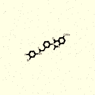 COc1ccc2nc(C)n(-c3cccc(CC(=S)Nc4ccc(F)c(Br)c4)c3)c(=O)c2c1